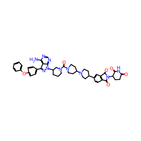 Nc1ncnc2c1c(-c1ccc(Oc3ccccc3)cc1)nn2C1CCCN(C(=O)N2CCC(N3CCC(c4ccc5c(c4)C(=O)N(C4CCC(=O)NC4=O)C5=O)CC3)CC2)C1